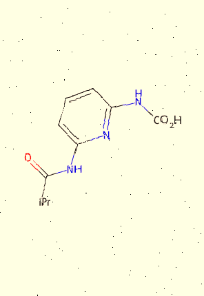 CC(C)C(=O)Nc1cccc(NC(=O)O)n1